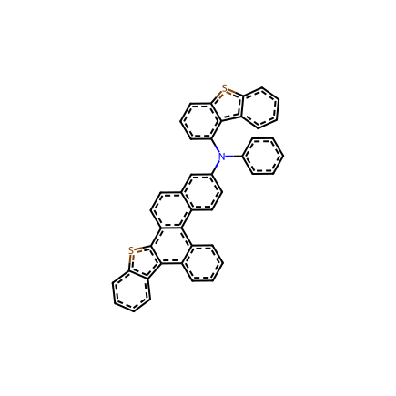 c1ccc(N(c2ccc3c(ccc4c5sc6ccccc6c5c5ccccc5c34)c2)c2cccc3sc4ccccc4c23)cc1